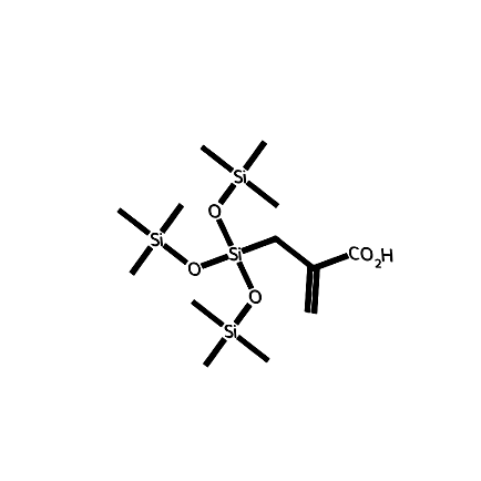 C=C(C[Si](O[Si](C)(C)C)(O[Si](C)(C)C)O[Si](C)(C)C)C(=O)O